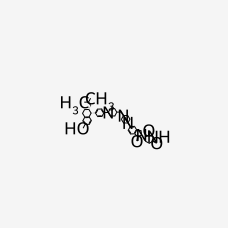 CC(C)C[C@H]1CCc2cc(O)ccc2[C@H]1c1ccc(N2CCC(CN3CCN(c4ccc5c(c4)CN([C@H]4CCC(=O)NC4=O)C5=O)CC3)CC2)cc1